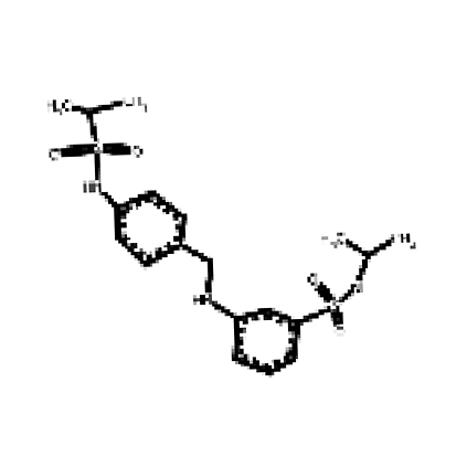 CC(C)NS(=O)(=O)c1cccc(NCc2ccc(NS(=O)(=O)C(C)C)cc2)c1